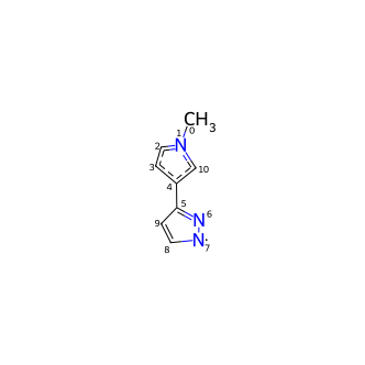 Cn1ccc(C2=N[N]C=C2)c1